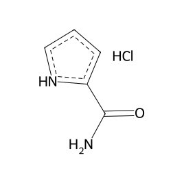 Cl.NC(=O)c1ccc[nH]1